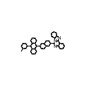 Cc1cccc(-c2c3ccccc3c(-c3ccc4cc(-c5nc6ccccc6c6nc7ccccc7n56)ccc4c3)c3ccccc23)c1